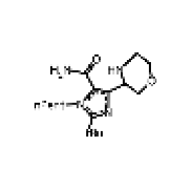 CCCCCn1c(C(C)(C)C)nc(C2COCCN2)c1C(N)=O